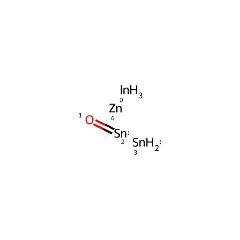 [InH3].[O]=[Sn].[SnH2].[Zn]